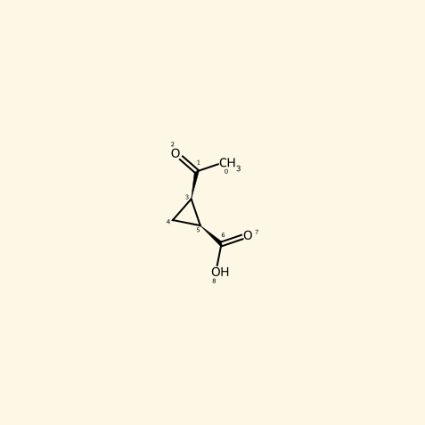 CC(=O)[C@@H]1C[C@@H]1C(=O)O